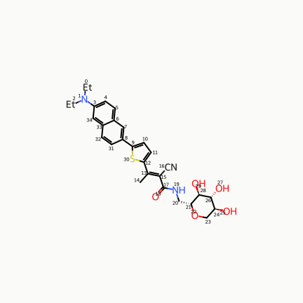 CCN(CC)c1ccc2cc(-c3ccc(/C(C)=C(\C#N)C(=O)NC[C@H]4OC[C@H](O)[C@@H](O)[C@@H]4O)s3)ccc2c1